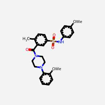 COc1ccc(NS(=O)(=O)c2ccc(C)c(C(=O)N3CCN(c4ccccc4OC)CC3)c2)cc1